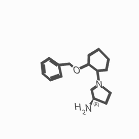 N[C@@H]1CCN(C2CCCCC2OCc2ccccc2)C1